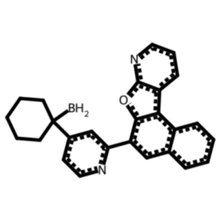 BC1(c2ccnc(-c3cc4ccccc4c4c3oc3ncccc34)c2)CCCCC1